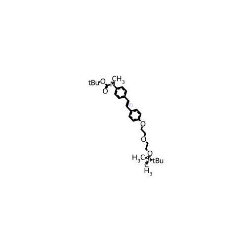 CN(C(=O)OC(C)(C)C)c1ccc(/C=C/c2ccc(OCCOCCO[Si](C)(C)C(C)(C)C)cc2)cc1